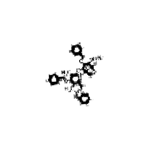 CC1[C@H](O[C@H]2C(OCc3ccccc3)C(N=[N+]=[N-])[C@@H]3OC[C@@H]2O3)OC(Cn2nnc3ccccc32)[C@@H](C)[C@H]1OCc1ccccc1